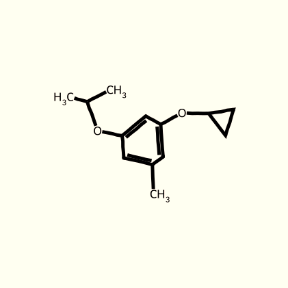 Cc1cc(OC(C)C)cc(OC2CC2)c1